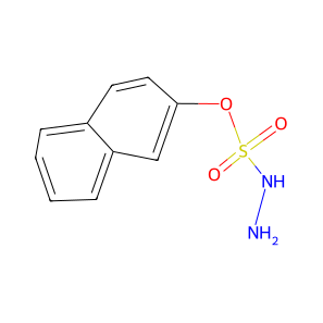 NNS(=O)(=O)Oc1ccc2ccccc2c1